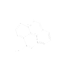 CCCCCCCCCCc1cc2cc[c]c3ccc4cccc1c4c32